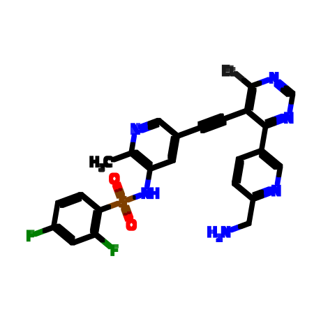 CCc1ncnc(-c2ccc(CN)nc2)c1C#Cc1cnc(C)c(NS(=O)(=O)c2ccc(F)cc2F)c1